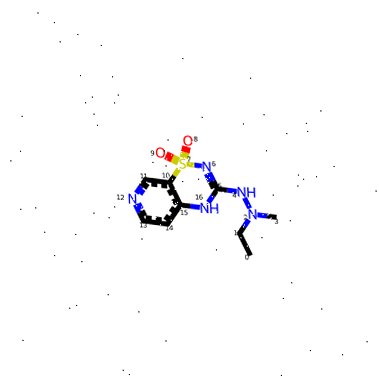 CCN(C)NC1=NS(=O)(=O)c2cnccc2N1